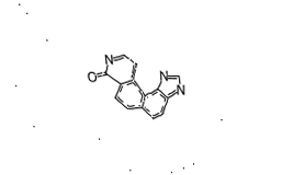 O=C1N=CC=c2c1ccc1ccc3c(c21)N=CN=3